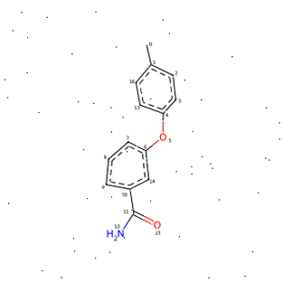 Cc1ccc(Oc2cccc(C(N)=O)c2)cc1